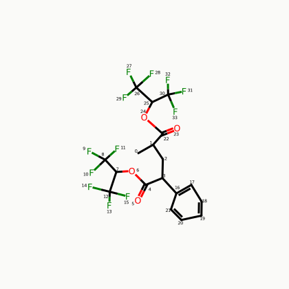 CC(CC(C(=O)OC(C(F)(F)F)C(F)(F)F)c1ccccc1)C(=O)OC(C(F)(F)F)C(F)(F)F